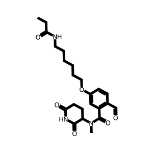 CCC(=O)NCCCCCCOc1ccc(C=O)c(C(=O)N(C)C2CCC(=O)NC2=O)c1